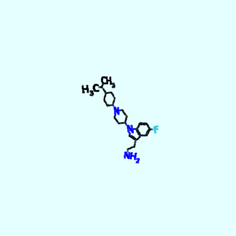 CC(C)C1CCC(N2CCC(n3cc(CCN)c4cc(F)ccc43)CC2)CC1